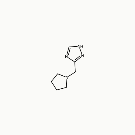 c1nc(CN2CCCC2)n[nH]1